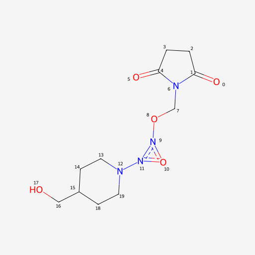 O=C1CCC(=O)N1COn1on1N1CCC(CO)CC1